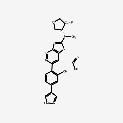 CN(c1nc2nnc(-c3ccc(-c4cn[nH]c4)cc3O)cc2s1)[C@@H]1CNC[C@@H]1F.O=CO